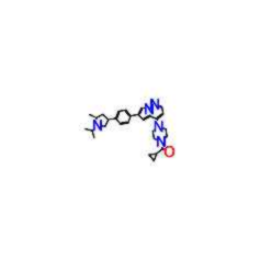 CC(C)N1C[C@H](c2ccc(-c3cc4c(N5CCN(C(=O)C6CC6)CC5)ccnn4c3)cc2)C[C@@H]1C